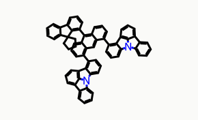 c1ccc2c(c1)-c1cccc(-c3c4cccc(-c5cccc6c5c5cccc7c8ccccc8n6c75)c4cc4c(-c5cccc6c5c5cccc7c8ccccc8n6c75)cccc34)c1C21CCCC1